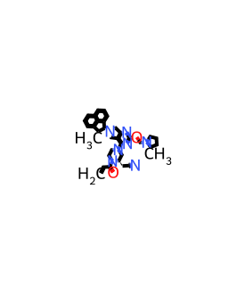 C=CC(=O)N1CCN(c2nc(OCN3CCCC3C)nc3c2CN(C2c4cccc5cccc(c45)C2C)C3)C[C@@H]1CC#N